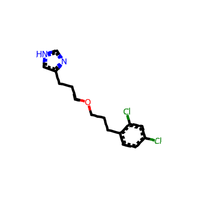 Clc1ccc(CCCOCCCc2c[nH]cn2)c(Cl)c1